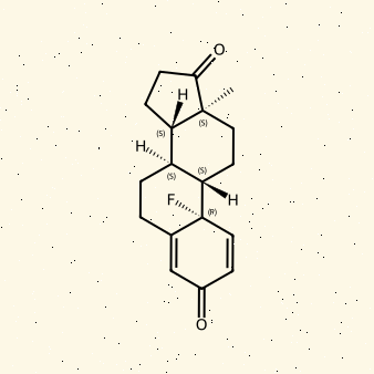 C[C@]12CC[C@H]3[C@@H](CCC4=CC(=O)C=C[C@@]43F)[C@@H]1CCC2=O